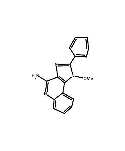 COn1c(-c2ccccc2)nc2c(N)nc3ccccc3c21